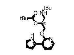 CC(C)(C)NC[C@@H](COc1ncccc1-c1ccc[nH]1)OC(=O)C(C)(C)C